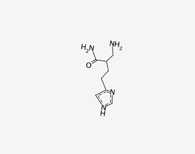 NCC(CCc1c[nH]cn1)C(N)=O